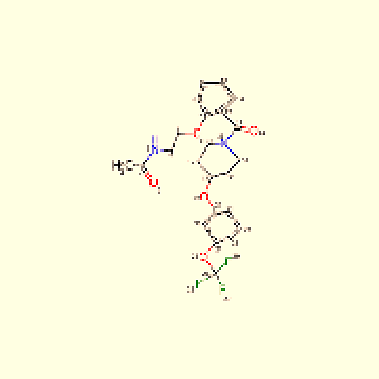 CC(=O)NCCOc1ccccc1C(=O)N1CCC(Oc2cccc(OC(F)(F)F)c2)CC1